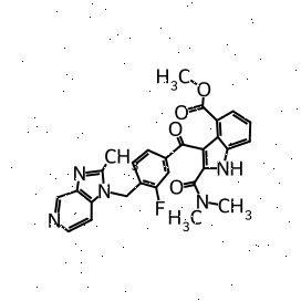 COC(=O)c1cccc2[nH]c(C(=O)N(C)C)c(C(=O)c3ccc(Cn4c(C)nc5cnccc54)c(F)c3)c12